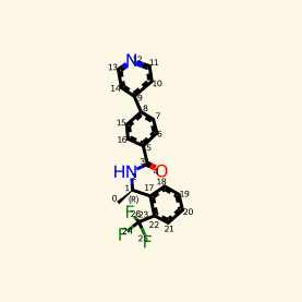 C[C@@H](NC(=O)c1ccc(-c2ccncc2)cc1)c1ccccc1C(F)(F)F